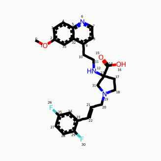 COc1ccc2nccc(CCNC3(C(=O)O)CCN(CC=Cc4cc(F)ccc4F)C3)c2c1